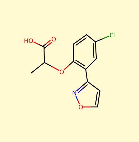 CC(Oc1ccc(Cl)cc1-c1ccon1)C(=O)O